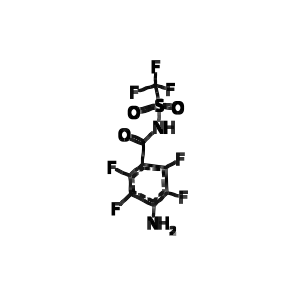 Nc1c(F)c(F)c(C(=O)NS(=O)(=O)C(F)(F)F)c(F)c1F